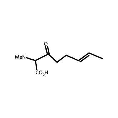 CC=CCCC(=O)C(NC)C(=O)O